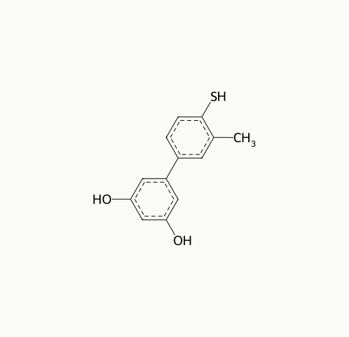 Cc1cc(-c2cc(O)cc(O)c2)ccc1S